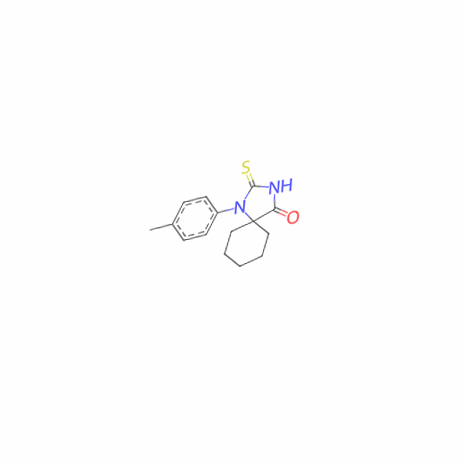 Cc1ccc(N2C(=S)NC(=O)C23CCCCC3)cc1